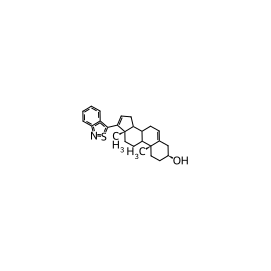 C[C@]12CC[C@H](O)CC1=CCC1C2CC[C@]2(C)C(c3snc4ccccc34)=CCC12